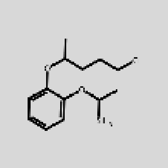 CC([SiH3])Oc1ccccc1OC(C)CCCCl